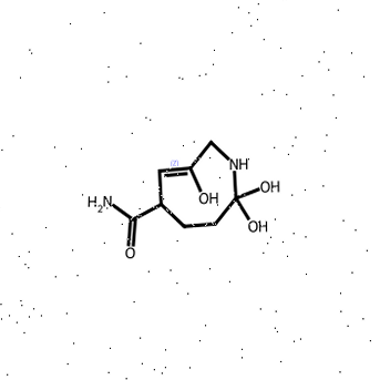 NC(=O)C1/C=C(\O)CNC(O)(O)CC1